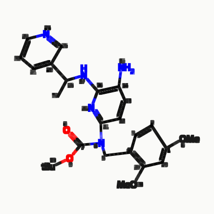 COc1ccc(CN(C(=O)OC(C)(C)C)c2ccc(N)c(NC(C)c3cccnc3)n2)c(OC)c1